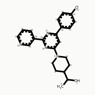 CC(O)C1CCN(c2cc(-c3ccc(Cl)cc3)nc(-c3cccnc3)n2)CC1